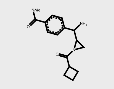 CNC(=O)c1ccc(C(N)C2CN2C(=O)C2CCC2)cc1